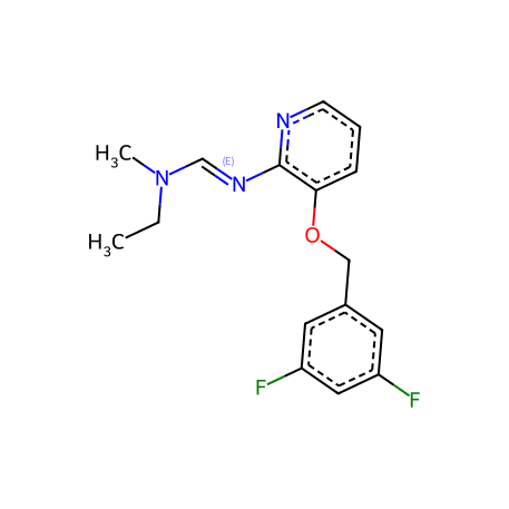 CCN(C)/C=N/c1ncccc1OCc1cc(F)cc(F)c1